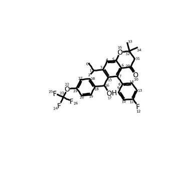 CC(C)c1cc2c(c(-c3ccc(F)cc3)c1C(O)c1ccc(OC(F)(F)F)cc1)C(=O)CC(C)(C)O2